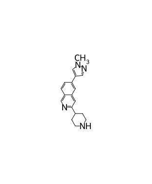 Cn1cc(-c2ccc3cnc(C4CCNCC4)cc3c2)cn1